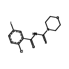 O=C(NC(=S)N1CCOCC1)c1cc(I)ccc1Cl